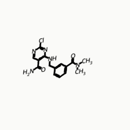 CN(C)C(=O)c1cccc(CNc2nc(Cl)ncc2C(N)=O)c1